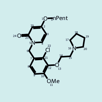 CCCCCOc1ccn(Cc2ccc(OC)c(OCCN3CCCC3)c2Cl)c(=O)c1